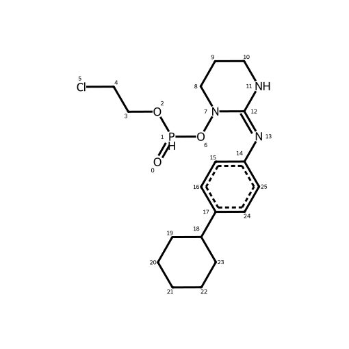 O=[PH](OCCCl)ON1CCCNC1=Nc1ccc(C2CCCCC2)cc1